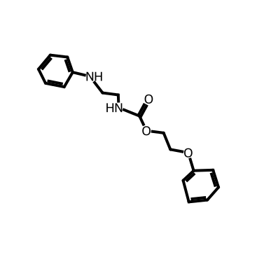 O=C(NCCNc1ccccc1)OCCOc1ccccc1